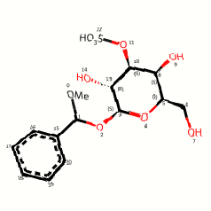 COC(O[C@@H]1O[C@H](CO)[C@H](O)[C@H](OS(=O)(=O)O)[C@H]1O)c1ccccc1